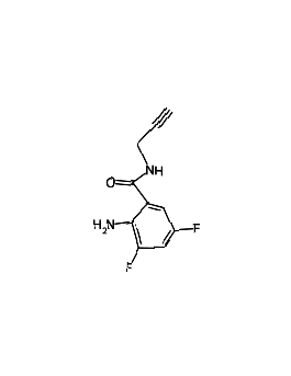 C#CCNC(=O)c1cc(F)cc(F)c1N